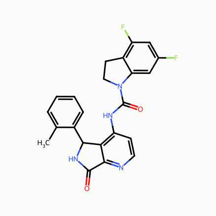 Cc1ccccc1C1NC(=O)c2nccc(NC(=O)N3CCc4c(F)cc(F)cc43)c21